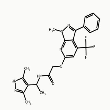 Cc1n[nH]c(C)c1C(C)NC(=O)COc1cc(C(F)(F)F)c2c(-c3ccccc3)nn(C)c2n1